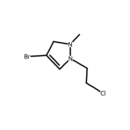 CN1CC(Br)=CN1CCCl